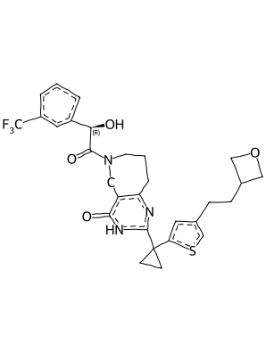 O=C([C@H](O)c1cccc(C(F)(F)F)c1)N1CCCc2nc(C3(c4cc(CCC5COC5)cs4)CC3)[nH]c(=O)c2C1